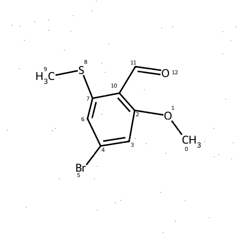 COc1cc(Br)cc(SC)c1C=O